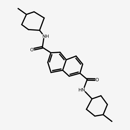 CC1CCC(NC(=O)c2ccc3cc(C(=O)NC4CCC(C)CC4)ccc3c2)CC1